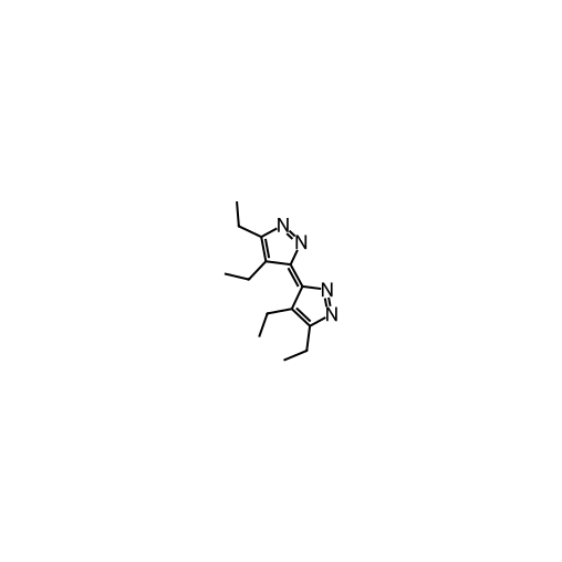 CCC1=C(CC)C(=C2N=NC(CC)=C2CC)N=N1